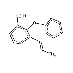 CC=Cc1cccc(C(=O)O)c1Oc1ccccc1